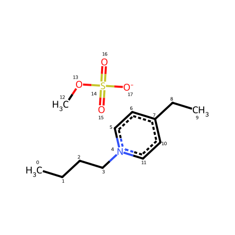 CCCC[n+]1ccc(CC)cc1.COS(=O)(=O)[O-]